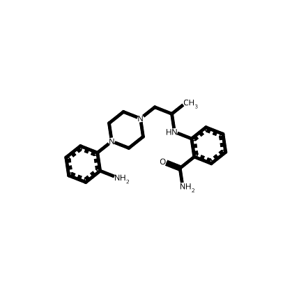 CC(CN1CCN(c2ccccc2N)CC1)Nc1ccccc1C(N)=O